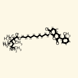 Cc1ccccc1-c1cc2ccc(=O)n(CCCCCCCCCCOC(=O)C(C)(C)C(C)(N)CC(C)(C)N)c2oc1=O